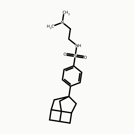 CN(C)CCNS(=O)(=O)c1ccc(C23CC4CC5CC(C2)C54C3)cc1